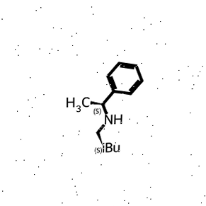 CC[C@H](C)CN[C@@H](C)c1ccccc1